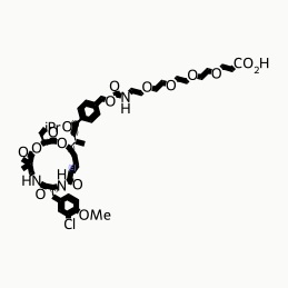 COc1ccc(C[C@H]2NC(=O)/C=C/C[C@@H](C(C)[C@@H]3O[C@H]3c3ccc(COC(=O)NCCOCCOCCOCCOCCC(=O)O)cc3)OC(=O)[C@H](CC(C)C)OC(=O)C(C)(C)CNC2=O)cc1Cl